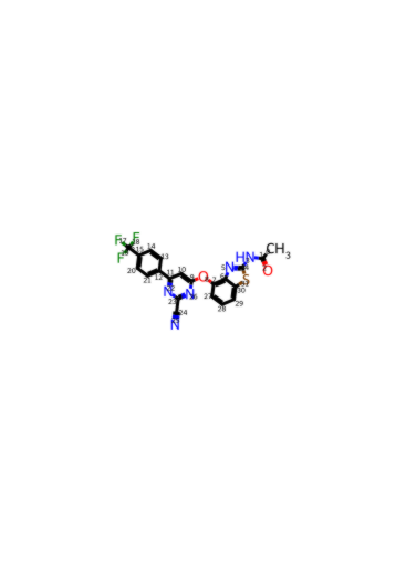 CC(=O)Nc1nc2c(Oc3cc(-c4ccc(C(F)(F)F)cc4)nc(C#N)n3)cccc2s1